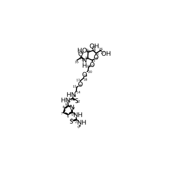 CNC(=S)Nc1cccc(NC(=S)NCCOCCOCCO[C@@H]2OC(CO)[C@@H](O)C(O)C2NC(C)=O)n1